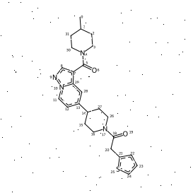 CC1CCN(C(=O)c2cnn3ccc(C4CCN(C(=O)Cc5cccs5)CC4)cc23)CC1